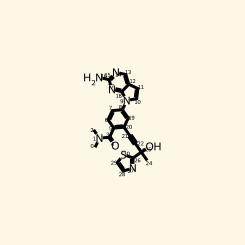 CN(C)C(=O)c1ccc(-n2ccc3cnc(N)nc32)cc1C#CC(C)(O)c1nccs1